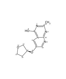 Cc1nc(O)c2cc(O[C@H]3CCOC3)cnc2n1